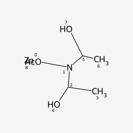 CC(=O)ON(C(C)O)C(C)O.[Zn]